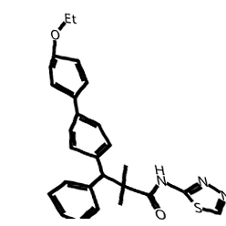 CCOc1ccc(-c2ccc(C(c3ccccc3)C(C)(C)C(=O)Nc3nncs3)cc2)cc1